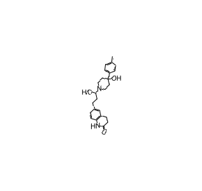 Cc1ccc(C2(O)CCN(C(O)CCc3ccc4c(c3)CCC(=O)N4)CC2)cc1